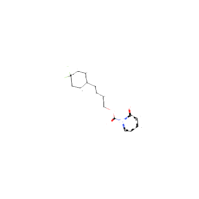 O=C(OCCCCC1CCC(F)(F)CC1)n1ccccc1=O